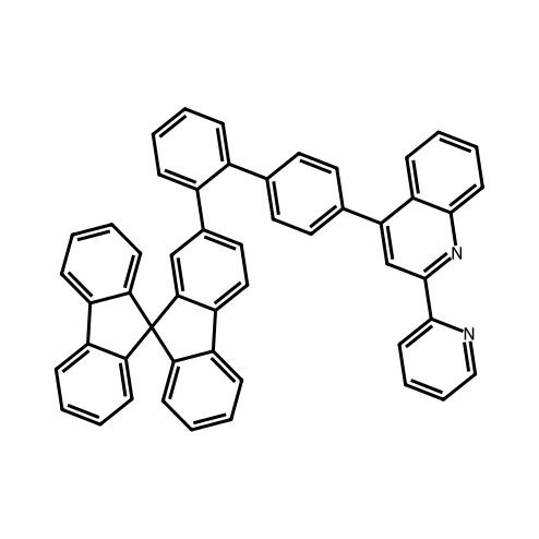 c1ccc(-c2cc(-c3ccc(-c4ccccc4-c4ccc5c(c4)C4(c6ccccc6-c6ccccc64)c4ccccc4-5)cc3)c3ccccc3n2)nc1